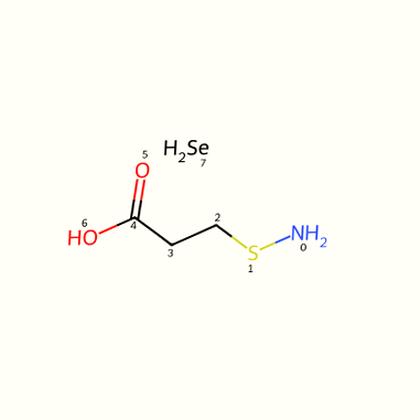 NSCCC(=O)O.[SeH2]